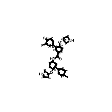 Cc1ccc(-c2cc(NC(=O)c3ccc(O[C@@H]4CCNC4)c(-c4ccc(F)c(F)c4)c3)ccc2O[C@@H]2CCNC2)cc1